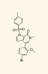 COc1cc(Br)ccc1-c1cn(C)c(=O)c2c1ccn2S(=O)(=O)c1ccc(C)cc1